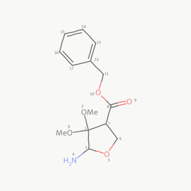 COC1(OC)C(N)OCC1C(=O)OCc1ccccc1